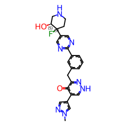 Cn1cc(-c2c[nH]nc(Cc3cccc(-c4ncc([C@@]5(F)CCNC[C@@H]5O)cn4)c3)c2=O)cn1